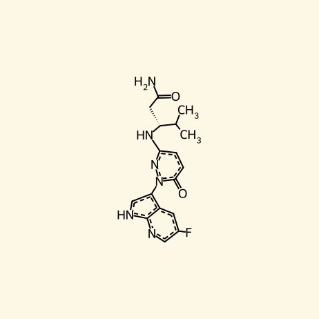 CC(C)[C@@H](CC(N)=O)Nc1ccc(=O)n(-c2c[nH]c3ncc(F)cc23)n1